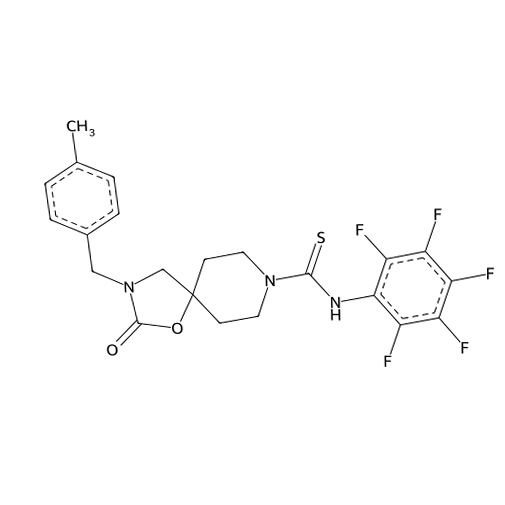 Cc1ccc(CN2CC3(CCN(C(=S)Nc4c(F)c(F)c(F)c(F)c4F)CC3)OC2=O)cc1